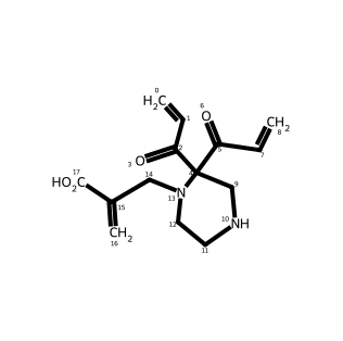 C=CC(=O)C1(C(=O)C=C)CNCCN1CC(=C)C(=O)O